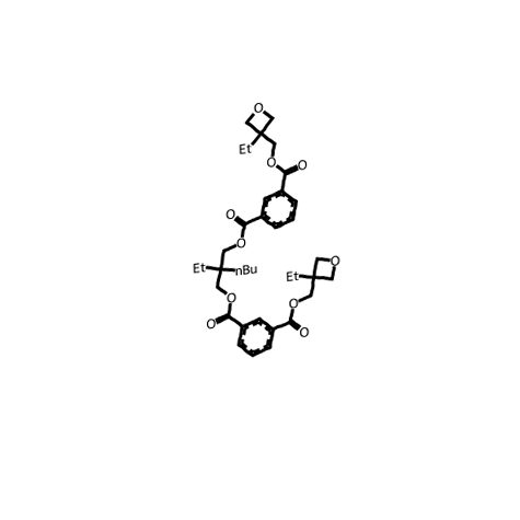 CCCCC(CC)(COC(=O)c1cccc(C(=O)OCC2(CC)COC2)c1)COC(=O)c1cccc(C(=O)OCC2(CC)COC2)c1